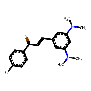 CCc1ccc(C(=S)C=Cc2cc(N(C)C)cc(N(C)C)c2)cc1